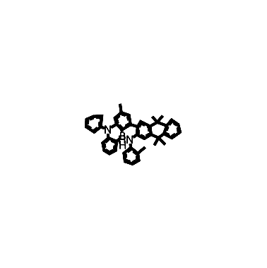 Cc1cc(-c2cc3c(cc2Nc2ccccc2C)C(C)(C)c2ccccc2C3(C)C)c2c(c1)N(c1ccccc1)c1ccccc1B2